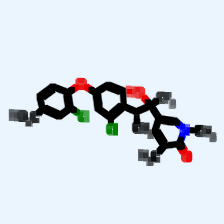 Cc1cc([C@@](O)([C@@H](C)c2ccc(Oc3ccc(C(=O)O)cc3Cl)cc2Cl)C(F)(F)F)cn(C)c1=O